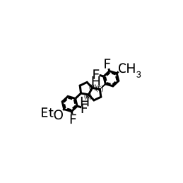 CCOc1ccc(C2CC[C@H]3[C@@H](c4ccc(C)c(F)c4F)CC[C@@H]23)c(F)c1F